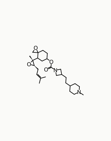 CC(C)=CC[C@H]1O[C@]1(C)C1CC(OC(=O)N2CC(CCC3CCN(C)CC3)C2)CCC12CO2